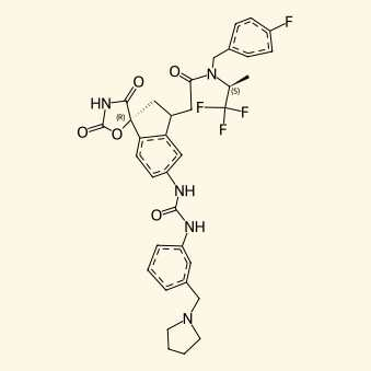 C[C@H](N(Cc1ccc(F)cc1)C(=O)CC1C[C@@]2(OC(=O)NC2=O)c2ccc(NC(=O)Nc3cccc(CN4CCCC4)c3)cc21)C(F)(F)F